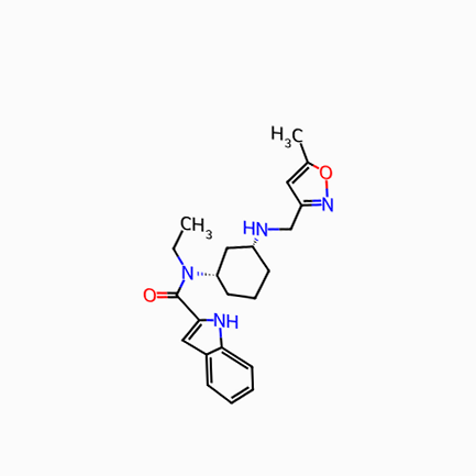 CCN(C(=O)c1cc2ccccc2[nH]1)[C@H]1CCC[C@@H](NCc2cc(C)on2)C1